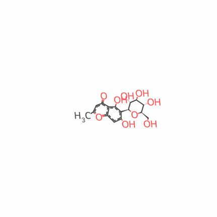 Cc1cc(=O)c2c(O)c([C@@H]3O[C@H](CO)[C@@H](O)[C@H](O)[C@H]3O)c(O)cc2o1